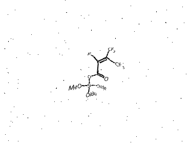 CO[Si](OC)(OCC(C)C)OC(=O)C(F)=C(C(F)(F)F)C(F)(F)F